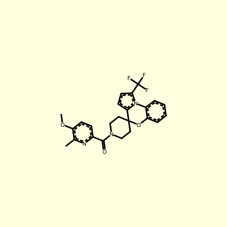 COc1ccc(C(=O)N2CCC3(CC2)Oc2ccccc2-n2c(C(F)(F)F)ccc23)nc1C